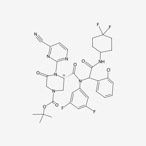 CC(C)(C)OC(=O)N1CC(=O)N(c2nccc(C#N)n2)[C@H](C(=O)N(c2cc(F)cc(F)c2)C(C(=O)NC2CCC(F)(F)CC2)c2ccccc2Cl)C1